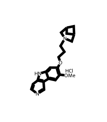 COc1cc2c(cc1OCCCN1CC3CC(C3)C1)[nH]c1ccncc12.Cl